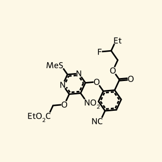 CCOC(=O)COc1nc(SC)nc(Oc2cc(C#N)ccc2C(=O)OCC(F)CC)c1[N+](=O)[O-]